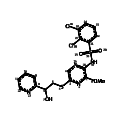 COc1nc(SCC(O)c2ccccn2)cnc1NS(=O)(=O)c1cccc(Cl)c1Cl